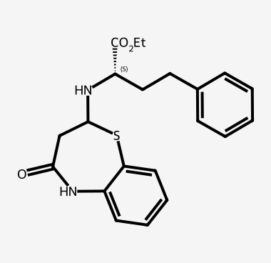 CCOC(=O)[C@H](CCc1ccccc1)NC1CC(=O)Nc2ccccc2S1